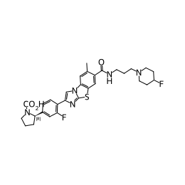 Cc1cc2c(cc1C(=O)NCCCN1CCC(F)CC1)sc1nc(-c3ccc([C@H]4CCCN4C(=O)O)cc3F)cn12